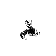 CC(=O)O.CC(=O)O.CC(=O)O.CC(=O)O.NCCN.O=S(=O)(O)c1c(O)c(S(=O)(=O)O)c(O)c(S(=O)(=O)O)c1O